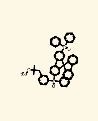 CC(C)(C)OC(C)(C)Cc1cccc(P(=O)(c2ccccc2)c2ccc3c(c2)C2(c4ccccc4-c4ccccc42)c2cc(P(=O)(c4ccccc4)c4ccccc4)ccc2-3)c1